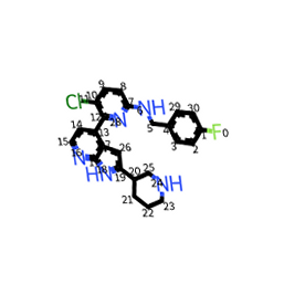 Fc1ccc(CNc2ccc(Cl)c(-c3ccnc4[nH]c(C5CCCNC5)cc34)n2)cc1